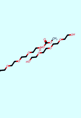 COC(=O)O.OCCOCCOCCOCCO.OCCOCCOCCOCCO